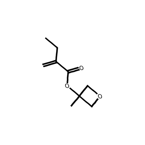 C=C(CC)C(=O)OC1(C)COC1